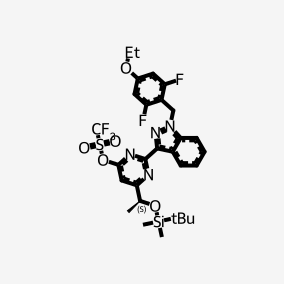 CCOc1cc(F)c(Cn2nc(-c3nc(OS(=O)(=O)C(F)(F)F)cc([C@H](C)O[Si](C)(C)C(C)(C)C)n3)c3ccccc32)c(F)c1